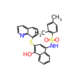 Cc1ccc(S(=O)(=O)Nc2cc(Sc3cccc4cccnc34)c(O)c3ccccc23)c(C)c1